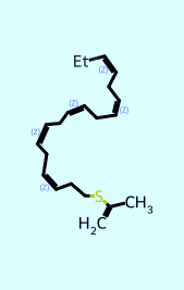 C=C(C)SCC/C=C\C/C=C\C/C=C\C/C=C\C/C=C\CC